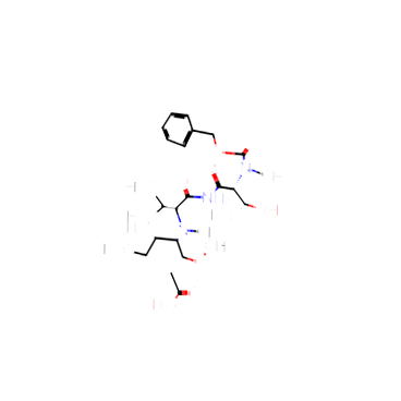 CC[C@H](C)[C@@H]([C@@H](CC(=O)O)OC)N(C)[C@H](C(=O)NC(=O)[C@H]([C@@H](C)O)N(C)C(=O)OCc1ccccc1)C(C)C